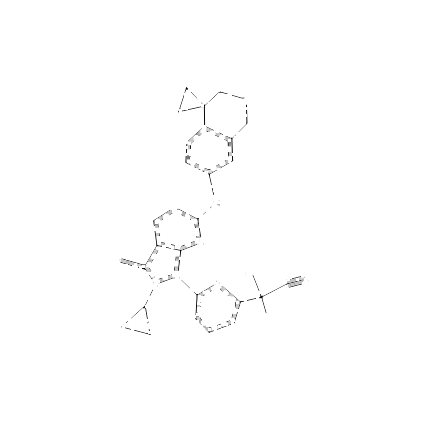 CC(C)(C#N)c1cccc(-n2c3nc(Nc4ccc5c(c4)CNCC54CC4)ncc3c(=O)n2C2CC2)n1